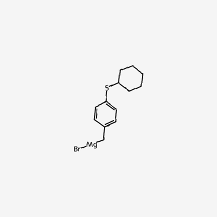 [Br][Mg][CH2]c1ccc(SC2CCCCC2)cc1